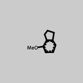 COc1cccc2c1CCC2